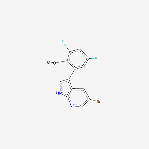 COc1c(F)cc(F)cc1-c1c[nH]c2ncc(Br)cc12